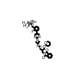 CC(C)(C)[Si](C)(C)OCc1cccc(-c2cnc(N3CC(=NOCC(COC4CCCCO4)CN4C(=O)c5ccccc5C4=O)C3)nc2)c1F